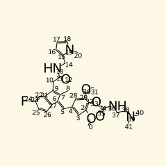 COc1cc(C=C2C(C)=C(CC(=O)NCc3cccn3C)c3cc(F)ccc32)cc(OC)c1OC(=O)NCCN(C)C